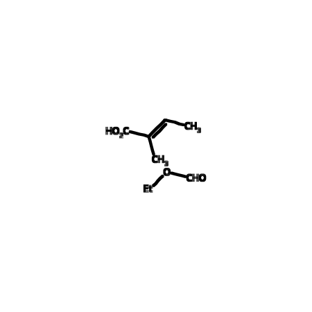 CC=C(C)C(=O)O.CCOC=O